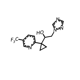 OC(Cn1cncn1)C1(c2ccc(C(F)(F)F)cn2)CC1